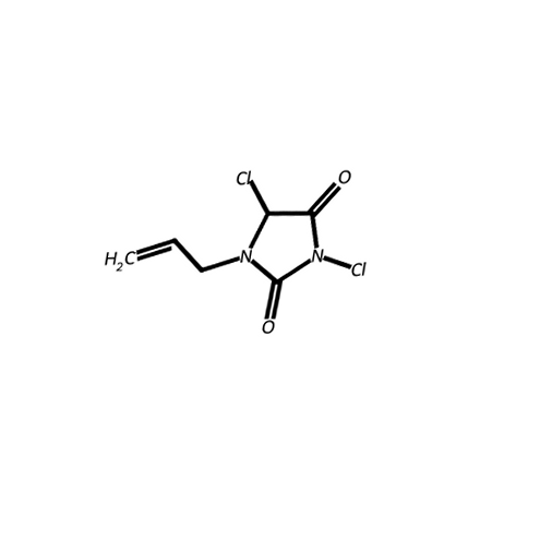 C=CCN1C(=O)N(Cl)C(=O)C1Cl